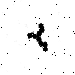 c1ccc(-c2cccc3c2oc2ccc(-c4ccc(N(c5ccc(-c6ccc7sc8ccccc8c7c6)cc5)c5ccc6c(ccc7ccccc76)c5)cc4)cc23)cc1